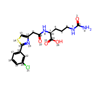 NC(=O)NCCC[C@H](NC(=O)Cc1csc(-c2cccc(Cl)c2)n1)C(=O)O